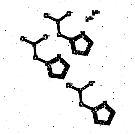 [Ir+3].[Ir+3].[O-]B([O-])On1cccn1.[O-]B([O-])On1cccn1.[O-]B([O-])On1cccn1